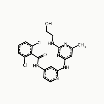 Cc1cc(Nc2cc(NC(=O)c3c(Cl)cccc3Cl)ccn2)nc(NCCO)n1